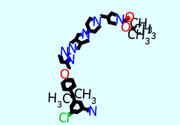 CC(C)(C)OC(=O)N1CCC(CN2CCC(N3CC4CN(c5nccc(COc6ccc(C(C)(C)c7cc(Cl)cc(C#N)c7)cc6)n5)CC4C3)CC2)CC1